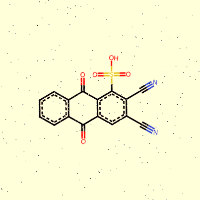 N#Cc1cc2c(c(S(=O)(=O)O)c1C#N)C(=O)c1ccccc1C2=O